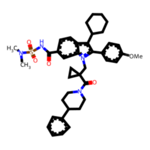 COc1ccc(-c2c(C3CCCCC3)c3ccc(C(=O)NS(=O)(=O)N(C)C)cc3n2CC2(C(=O)N3CCC(c4ccccc4)CC3)CC2)cc1